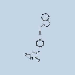 O=C1NC(=O)C(=Cc2ccc(C#CCN3CCc4ccccc43)cc2)S1